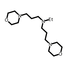 CCN(CCCN1CCOCC1)CCCN1CCOCC1